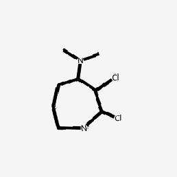 CN(C)C1CCC[N]C(Cl)C1Cl